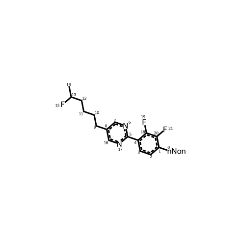 CCCCCCCCCc1ccc(-c2ncc(CCCCC(C)F)cn2)c(F)c1F